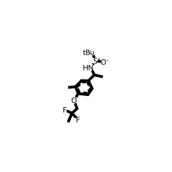 Cc1cc(C(C)N[S+]([O-])C(C)(C)C)ccc1OCC(C)(F)F